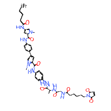 CC(C)CCCC(=O)Nc1cc(C(=O)Nc2ccc(-c3cc(C(=O)Nc4ccc(NC(=O)C(C)NC(=O)CNC(=O)CCCCCN5C(=O)C=CC5=O)cc4)n(C)c3)cc2)n(C)c1